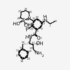 CCNc1cc(C(=O)N[C@@H](Cc2ccccc2)[C@H](O)CN)c(F)c(N2CCCCS2(O)O)c1